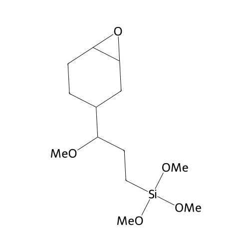 COC(CC[Si](OC)(OC)OC)C1CCC2OC2C1